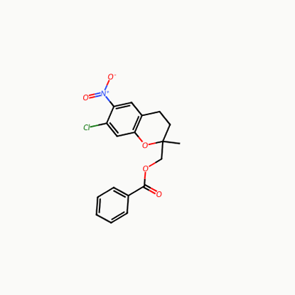 CC1(COC(=O)c2ccccc2)CCc2cc([N+](=O)[O-])c(Cl)cc2O1